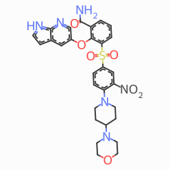 NC(=O)c1cccc(S(=O)(=O)c2ccc(N3CCC(N4CCOCC4)CC3)c([N+](=O)[O-])c2)c1Oc1cnc2[nH]ccc2c1